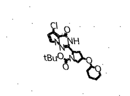 CC(C)(C)OC(=O)N1CC(OC2CCCCO2)CC1c1nn2ccc(Cl)c2c(=O)[nH]1